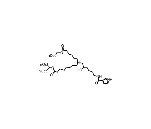 CCCCCCCCCCCOC(=O)CCCCCN(CCCCCCCC(=O)OC(CCCCCCCC)CCCCCCCC)CC(O)CCCCNC(=O)c1cc[nH]c1